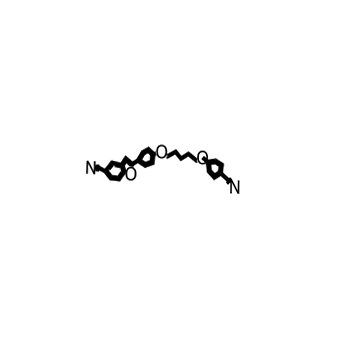 N#Cc1ccc(OCCCCCOc2ccc(-c3cc4cc(C#N)ccc4o3)cc2)cc1